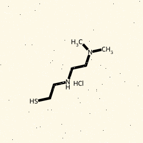 CN(C)CCNCCS.Cl